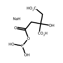 O=C(O)CC(O)(CC(=O)OP(O)O)C(=O)O.[NaH]